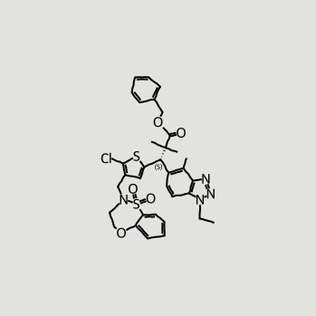 CCn1nnc2c(C)c([C@H](c3cc(CN4CCOc5ccccc5S4(=O)=O)c(Cl)s3)C(C)(C)C(=O)OCc3ccccc3)ccc21